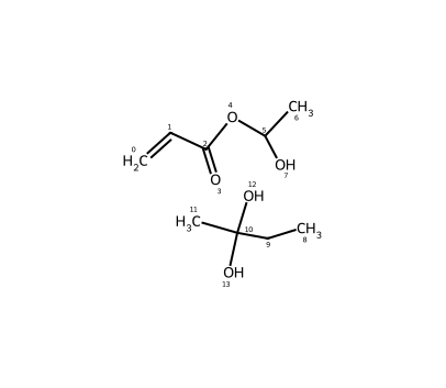 C=CC(=O)OC(C)O.CCC(C)(O)O